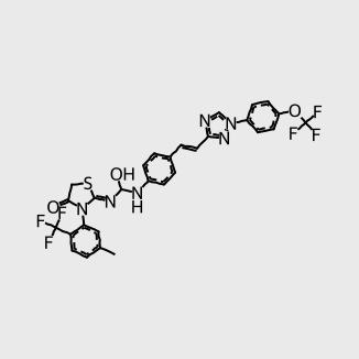 Cc1ccc(C(F)(F)F)c(N2C(=O)CS/C2=N\C(O)Nc2ccc(/C=C/c3ncn(-c4ccc(OC(F)(F)F)cc4)n3)cc2)c1